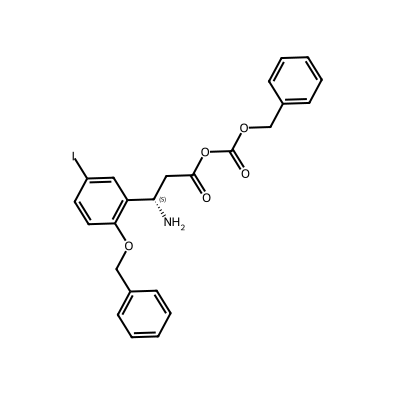 N[C@@H](CC(=O)OC(=O)OCc1ccccc1)c1cc(I)ccc1OCc1ccccc1